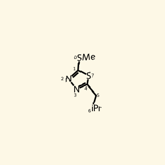 CSc1nnc(CC(C)C)s1